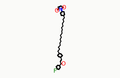 O=C(C=Cc1ccc(CCCCCCCCCCCCCCCCCCc2ccc(N3C(=O)C=CC3=O)cc2)cc1)c1ccc(F)cc1